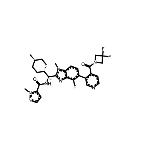 Cn1nccc1C(=O)N[C@H](c1nc2c(F)c(-c3cnccc3C(=O)N3CC(F)(F)C3)ccc2n1C)[C@H]1CC[C@H](C)CC1